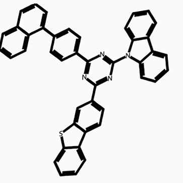 c1ccc2c(-c3ccc(-c4nc(-c5ccc6c(c5)sc5ccccc56)nc(-n5c6ccccc6c6ccccc65)n4)cc3)cccc2c1